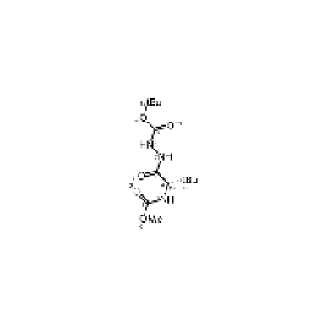 COC(=O)N[C@H](C(=O)NNC(=O)OC(C)(C)C)C(C)(C)C